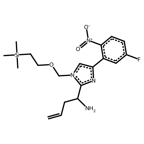 C=CCC(N)c1nc(-c2cc(F)ccc2[N+](=O)[O-])cn1COCC[Si](C)(C)C